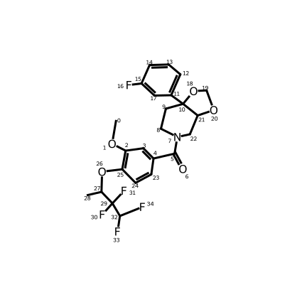 COc1cc(C(=O)N2CCC3(c4cccc(F)c4)OCOC3C2)ccc1OC(C)C(F)(F)C(F)F